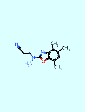 Cc1cc(C)c2oc(N(N)CCC#N)nc2c1C